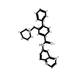 O=C(Nc1ccc2nccnc2c1)c1ccc(-c2ccccc2)c(CN2CCCCC2)c1